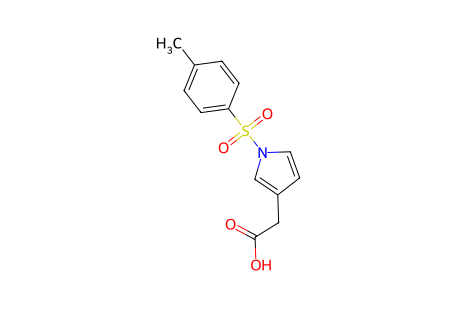 Cc1ccc(S(=O)(=O)n2ccc(CC(=O)O)c2)cc1